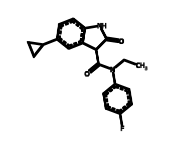 CCN(C(=O)C1C(=O)Nc2ccc(C3CC3)cc21)c1ccc(F)cc1